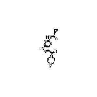 CN1CCN(C(=O)c2n[nH]c3nc(NC(=O)C4CC4)sc23)CC1